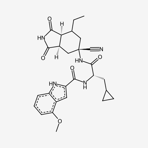 CCC1C[C@](C#N)(NC(=O)[C@H](CC2CC2)NC(=O)c2cc3c(OC)cccc3[nH]2)C[C@H]2C(=O)NC(=O)[C@@H]12